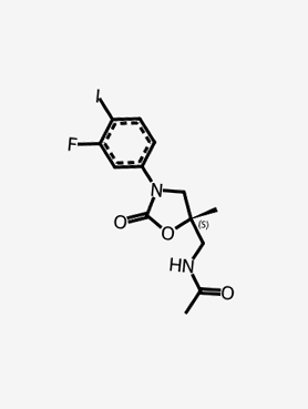 CC(=O)NC[C@@]1(C)CN(c2ccc(I)c(F)c2)C(=O)O1